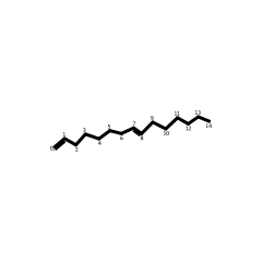 [CH]=CCCCCCC=CCCCCCC